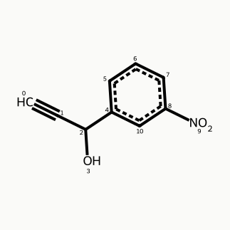 C#CC(O)c1cccc([N+](=O)[O-])c1